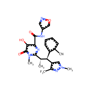 C[C@H](c1nc(C(=O)Nc2cnoc2)c(O)c(=O)n1C)[C@@H](c1ccccc1C#N)c1cn(C)nc1C(F)(F)F